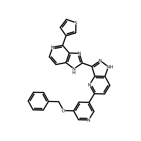 c1ccc(COc2cncc(-c3ccc4[nH]nc(-c5nc6c(-c7ccsc7)nccc6[nH]5)c4n3)c2)cc1